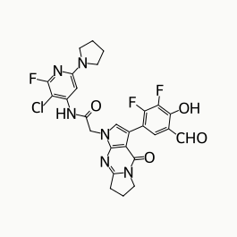 O=Cc1cc(-c2cn(CC(=O)Nc3cc(N4CCCC4)nc(F)c3Cl)c3nc4n(c(=O)c23)CCC4)c(F)c(F)c1O